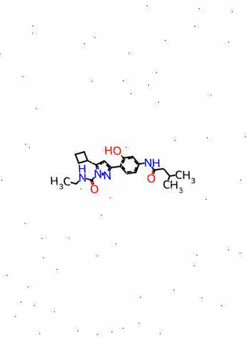 CCNC(=O)n1nc(-c2ccc(NC(=O)CC(C)C)cc2O)cc1C1CCC1